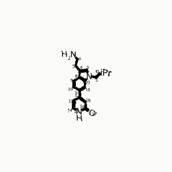 CC(C)Cn1cc(CCN)c2ccc(-c3cc[nH]c(=O)c3)cc21